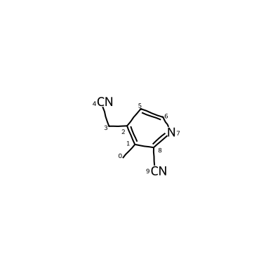 Cc1c(CC#N)ccnc1C#N